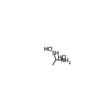 CC(N)S.Cl.Cl